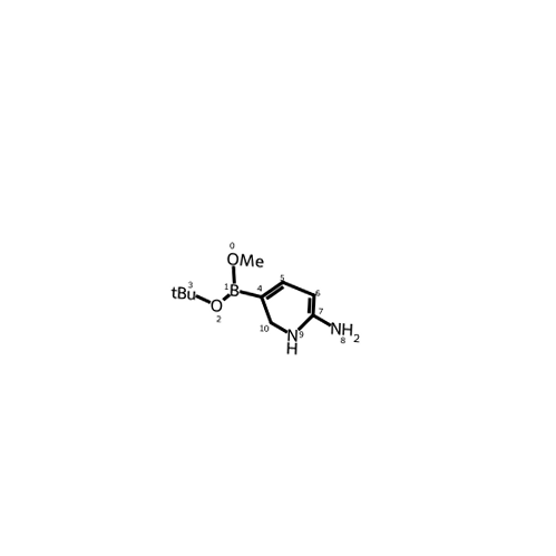 COB(OC(C)(C)C)C1=CC=C(N)NC1